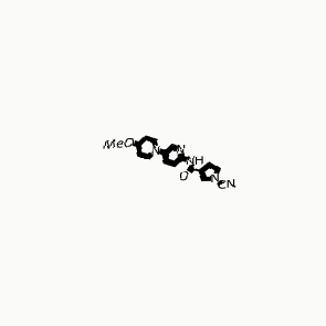 COC1CCN(c2ccc(NC(=O)[C@H]3CCN(C#N)C3)nc2)CC1